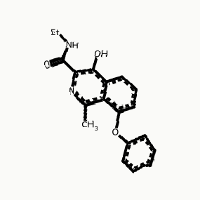 [CH2]CNC(=O)c1nc(C)c2c(Oc3ccccc3)cccc2c1O